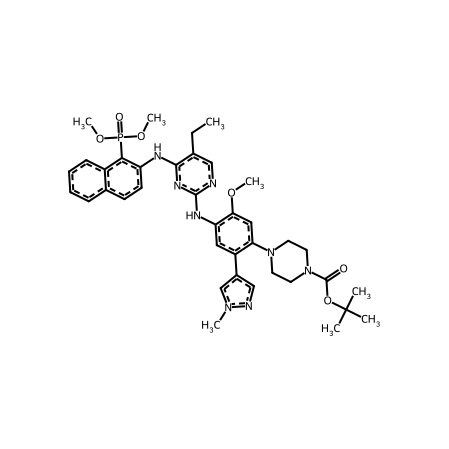 CCc1cnc(Nc2cc(-c3cnn(C)c3)c(N3CCN(C(=O)OC(C)(C)C)CC3)cc2OC)nc1Nc1ccc2ccccc2c1P(=O)(OC)OC